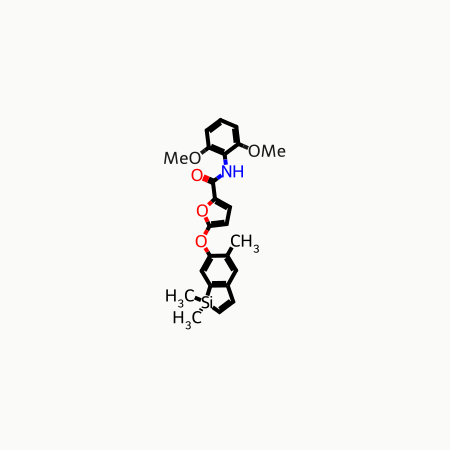 COc1cccc(OC)c1NC(=O)c1ccc(Oc2cc3c(cc2C)C=C[Si]3(C)C)o1